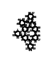 c1ccc(-c2ccc(N(c3ccncc3)c3cccc(-c4ccc5c(c4)N(c4ccccc4)c4c(c6ccccc6n4-c4ccccc4)S5)c3)cc2)cc1